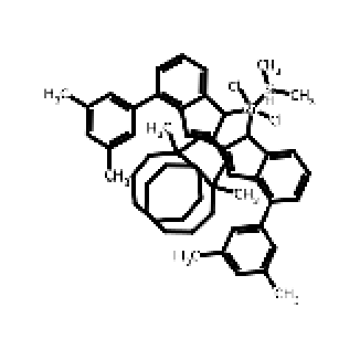 Cc1cc(C)cc(-c2cccc3c2C=C(CC2(C)CCCCCCC2)[CH]3[Zr]([Cl])([Cl])([CH]2C(CC3(C)CCCCCCC3)=Cc3c(-c4cc(C)cc(C)c4)cccc32)[SiH](C)C)c1